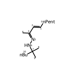 CCCCCC=CC(C)=NNC(C)(C)CCCC